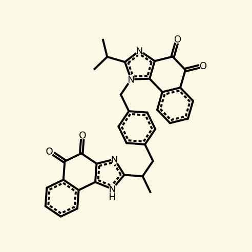 CC(C)c1nc2c(n1Cc1ccc(CC(C)c3nc4c([nH]3)-c3ccccc3C(=O)C4=O)cc1)-c1ccccc1C(=O)C2=O